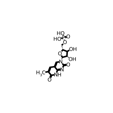 Cc1cc2cn([C@@H]3O[C@H](COP(=O)(O)O)C(O)[C@@H]3O)c(=O)nc2[nH]c1=O